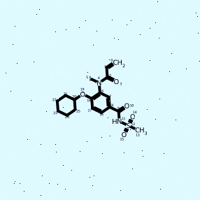 C=CC(=O)N(I)c1cc(C(=O)NS(C)(=O)=O)ccc1OC1CCCCC1